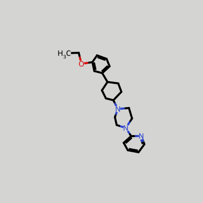 CCOc1cccc(C2CCC(N3CCN(c4ccccn4)CC3)CC2)c1